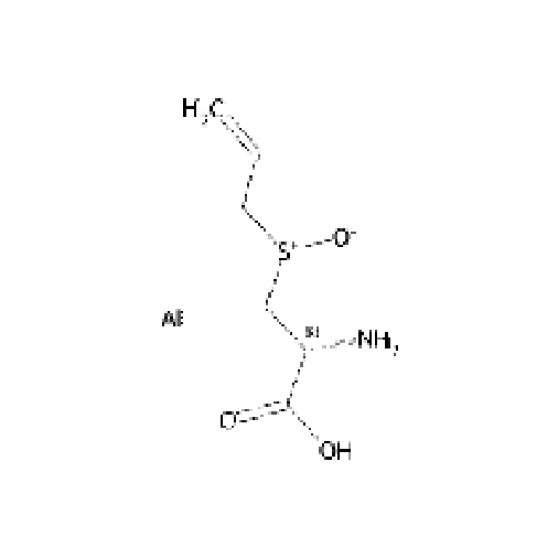 C=CC[S+]([O-])C[C@H](N)C(=O)O.[Al]